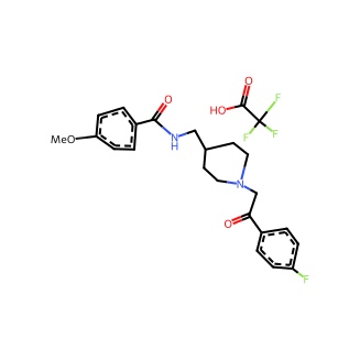 COc1ccc(C(=O)NCC2CCN(CC(=O)c3ccc(F)cc3)CC2)cc1.O=C(O)C(F)(F)F